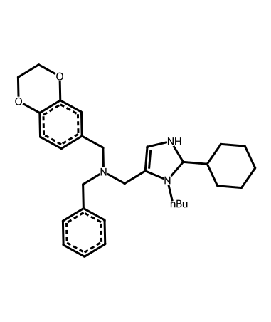 CCCCN1C(CN(Cc2ccccc2)Cc2ccc3c(c2)OCCO3)=CNC1C1CCCCC1